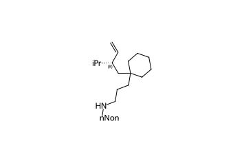 C=C[C@H](CC1(CCCNCCCCCCCCC)CCCCC1)C(C)C